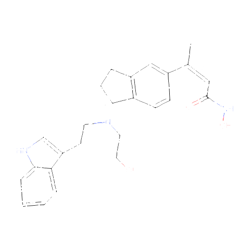 C/C(=C/C(=O)NO)c1ccc2c(c1)CC[C@H]2N(CCO)CCc1c[nH]c2ccccc12